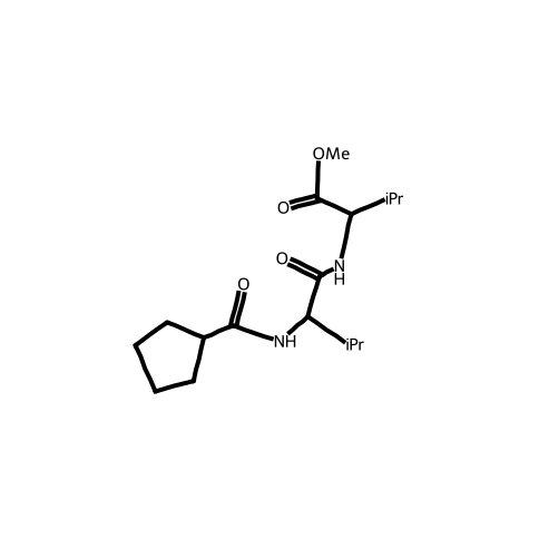 COC(=O)C(NC(=O)C(NC(=O)C1CCCC1)C(C)C)C(C)C